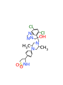 CC1CN(c2ccc(C3CCS(=O)(=O)NC3)cc2)C(C)CN1CC(O)(Cn1cncn1)c1ccc(Cl)cc1Cl